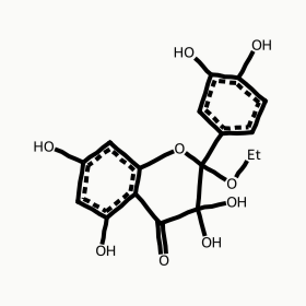 CCOC1(c2ccc(O)c(O)c2)Oc2cc(O)cc(O)c2C(=O)C1(O)O